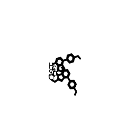 CCC1=Cc2c(-c3ccc(CC)cc3)ccc(C)c2[CH]1[Zr]([Cl])([Cl])([CH]1C(C)=Cc2c(-c3ccc(CC)cc3)ccc(C)c21)[SiH](C)C